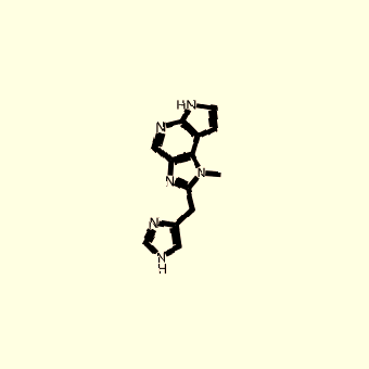 Cn1c(Cc2c[nH]cn2)nc2cnc3[nH]ccc3c21